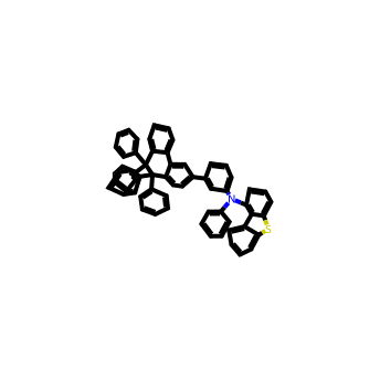 c1ccc(N(c2cccc(-c3ccc4c(c3)-c3ccccc3C(c3ccccc3)(c3ccccc3)C4(c3ccccc3)c3ccccc3)c2)c2cccc3sc4ccccc4c23)cc1